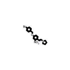 O=[N+]([O-])c1cc(OCc2ccc(Br)cc2)ccc1/C=C/N1CCCC1